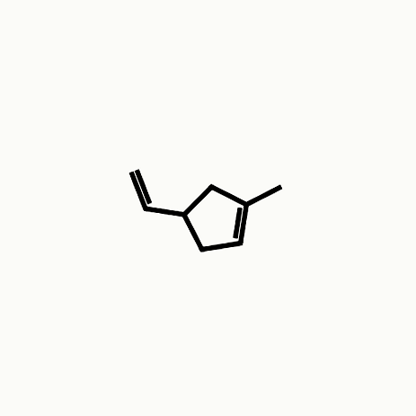 C=CC1CC=C(C)C1